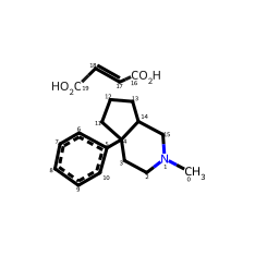 CN1CCC2(c3ccccc3)CCCC2C1.O=C(O)C=CC(=O)O